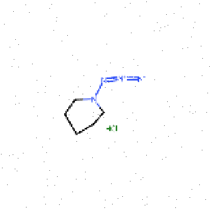 Cl.[N-]=[N+]=NN1CCCCC1